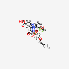 CC#CCOc1ccc(S(=O)(=O)NC(Cc2cn(Cc3ccc(OC(F)(F)F)cc3)c3ccc(C(=O)O)cc23)C(=O)O)cc1